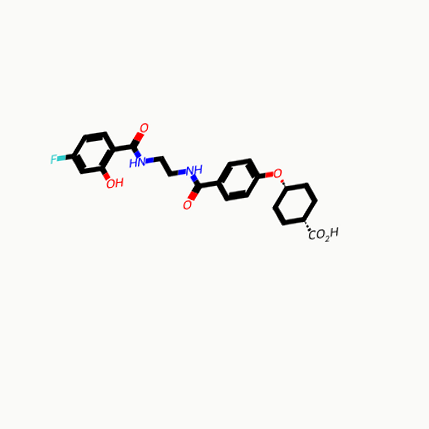 O=C(NCCNC(=O)c1ccc(F)cc1O)c1ccc(O[C@H]2CC[C@@H](C(=O)O)CC2)cc1